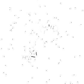 O=C(O)C(CCN(CCCCc1ccc2c(n1)NCCC2)C1CC1)NC(=O)N1CCC(F)C1